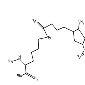 C=CC1CC(C)C(CCCC(=C)NCCCCC(NC(C)(C)C)C(=C)C(C)(C)C)C1